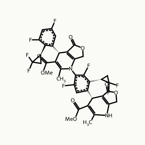 COC(=O)C1=C(C)N(c2c(F)cc([C@H]3C(C(=O)OC)=C(C)NC4=C3C(=O)OC4)c([C@@H]3CC3(F)F)c2F)C2=C(C(=O)OC2)[C@H]1c1cc(F)cc(F)c1[C@H]1CC1(F)F